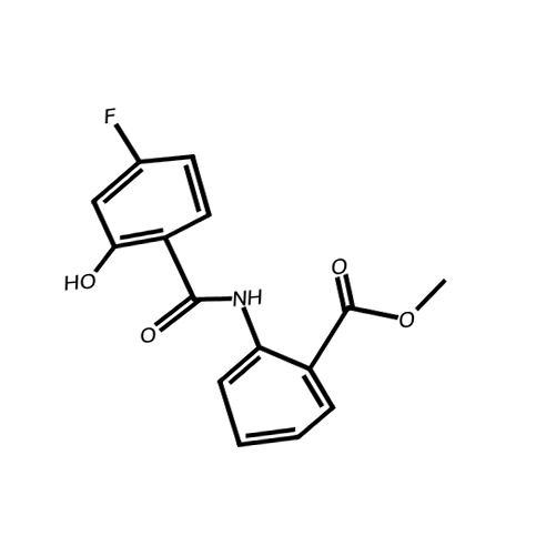 COC(=O)c1ccccc1NC(=O)c1ccc(F)cc1O